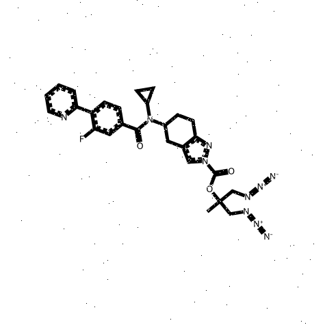 CC(CN=[N+]=[N-])(CN=[N+]=[N-])OC(=O)n1cc2c(n1)CCC(N(C(=O)c1ccc(-c3ccccn3)c(F)c1)C1CC1)C2